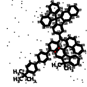 CC(C)(C)c1ccc(-c2ccc(-c3ccc(N(c4ccc5c(c4)-c4cc6ccccc6cc4C54c5ccccc5-c5ccccc54)c4ccc5ccccc5c4-c4cccc5c4-c4ccccc4C5(C)C)cc3)cc2)cc1